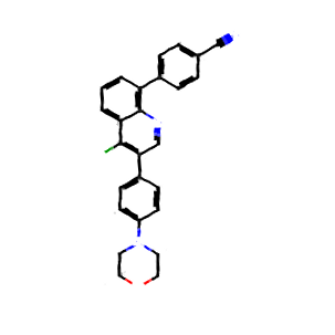 C[C@@H]1CN(c2ccc(-c3cnc4c(-c5ccc(C#N)cc5)cccc4c3Br)cc2)C[C@H](C)O1